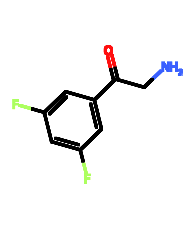 NCC(=O)c1cc(F)cc(F)c1